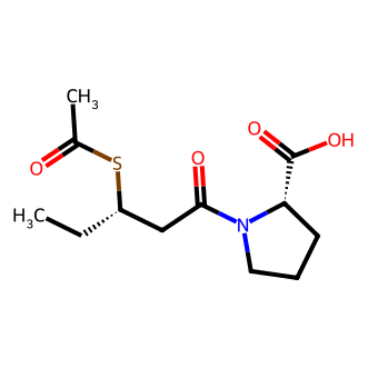 CC[C@@H](CC(=O)N1CCC[C@H]1C(=O)O)SC(C)=O